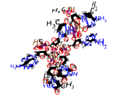 COP(=O)(S)O[C@@H]1C[C@H](n2cc(C)c(N)nc2=O)O[C@@H]1COP(=O)(S)O[C@@H]1C[C@H](n2cnc3c(N)ncnc32)O[C@@H]1COP(=O)(S)O[C@@H]1C[C@H](n2cc(C)c(=O)[nH]c2=O)O[C@@H]1COP(=O)(S)O[C@@H]1C[C@H](n2cc(C)c(=O)[nH]c2=O)O[C@@H]1COP(=O)(S)O[C@@H]1C[C@H](n2cnc3c(N)ncnc32)O[C@@H]1COP(=O)(S)O[C@@H]1C[C@H](n2cc(C)c(=O)[nH]c2=O)O[C@@H]1C